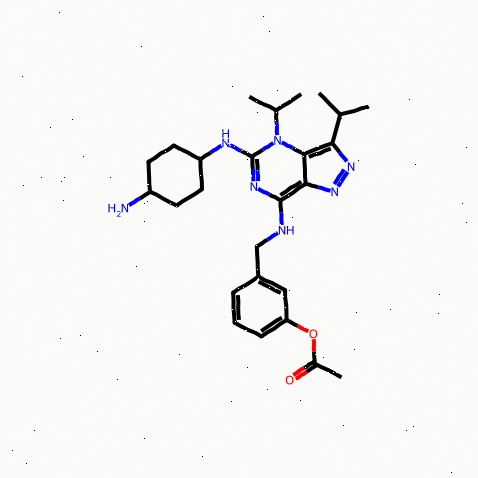 CC(=O)Oc1cccc(CNc2nc(NC3CCC(N)CC3)n(C(C)C)c3c(C(C)C)nnc2-3)c1